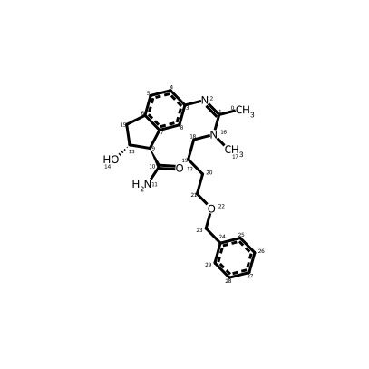 CC(=Nc1ccc2c(c1)[C@@H](C(N)=O)[C@H](O)C2)N(C)CCCCOCc1ccccc1